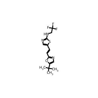 CC(C)(C)c1cnc(C=Cc2cnc(NCC(F)(F)F)s2)o1